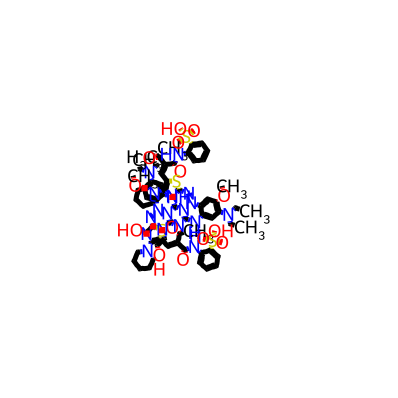 CCN(CC)c1cc(Nc2nc(Nc3cc(N(CC)CC)c(OC)cc3/N=N/c3nc(N4CCCCC4)c(/C=C(\C(C)=O)C(=O)Nc4ccccc4S(=O)(=O)O)s3)nc(N(CCO)CCO)n2)c(/N=N/c2nc(N3CCCCC3)c(C=C(C(C)=O)C(=O)Nc3ccccc3S(=O)(=O)O)s2)cc1OC